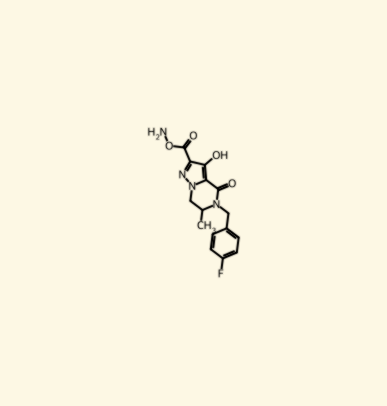 CC1Cn2nc(C(=O)ON)c(O)c2C(=O)N1Cc1ccc(F)cc1